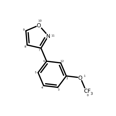 FC(F)(F)Oc1cccc(-c2ccon2)c1